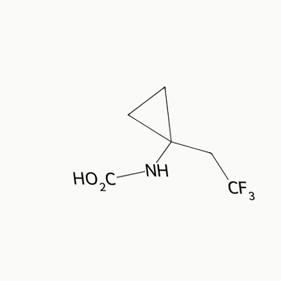 O=C(O)NC1(CC(F)(F)F)CC1